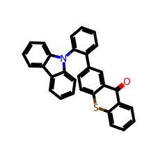 O=c1c2ccccc2sc2ccc(-c3ccccc3-n3c4ccccc4c4ccccc43)cc12